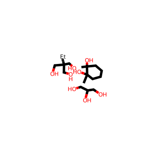 CC1(O)CCCCC1(C)O.CCC(CO)(CO)CO.OCC(O)CO